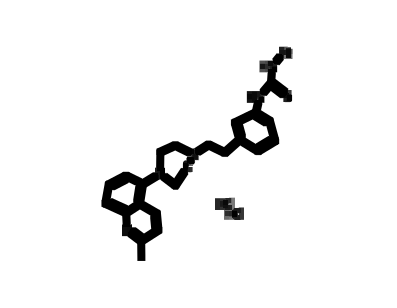 CCNC(=S)Nc1cccc(CCN2CCN(c3cccc4nc(C)ccc34)CC2)c1.Cl.Cl